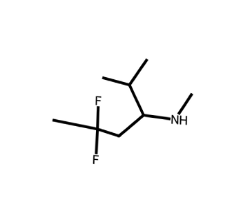 CNC(CC(C)(F)F)C(C)C